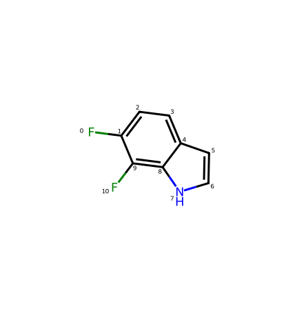 Fc1ccc2cc[nH]c2c1F